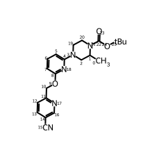 CC1CN(c2cccc(OCc3ccc(C#N)cn3)n2)CCN1C(=O)OC(C)(C)C